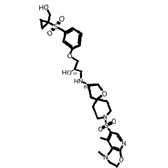 Cc1c(S(=O)(=O)N2CCC3(CC2)C[C@@H](NC[C@H](O)COc2cccc(S(=O)(=O)C4(CO)CC4)c2)CO3)cnc2c1N(C)CCO2